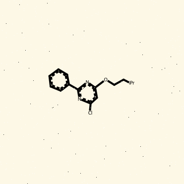 CC(C)CCOc1cc(Cl)nc(-c2ccccc2)n1